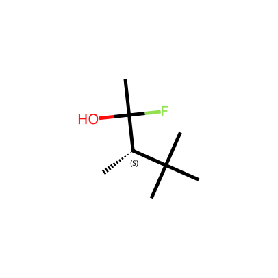 C[C@@H](C(C)(C)C)C(C)(O)F